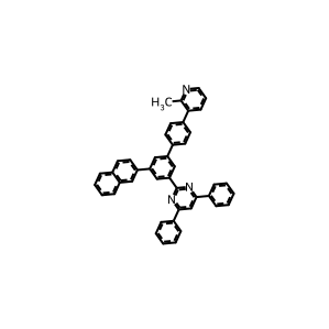 Cc1ncccc1-c1ccc(-c2cc(-c3ccc4ccccc4c3)cc(-c3nc(-c4ccccc4)cc(-c4ccccc4)n3)c2)cc1